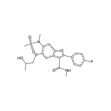 CNC(=O)c1c(-c2ccc(F)cc2)oc2cc(N(C)S(C)(=O)=O)c(OCC(C)O)cc12